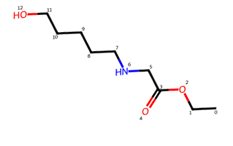 CCOC(=O)CNCCCCCO